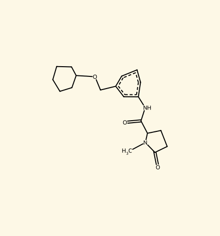 CN1C(=O)CCC1C(=O)Nc1cccc(COC2CCCCC2)c1